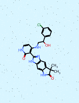 CC1(C)C(=O)Nc2cc3[nH]c(-c4c(NCC(O)c5cccc(Cl)c5)cc[nH]c4=O)nc3cc21